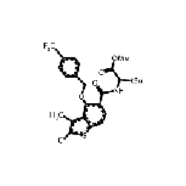 COC(=O)C(NC(=O)c1ccc2sc(Cl)c(C)c2c1OCc1ccc(C(F)(F)F)cc1)C(C)(C)C